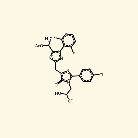 CC(=O)OC(C)c1nc(Cn2nc(-c3ccc(Cl)cc3)n(CC(O)C(F)(F)F)c2=O)nn1-c1c(F)cccc1F